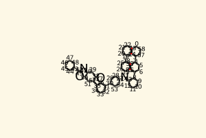 c1ccc(-c2ccc(-c3ccccc3N(c3ccc(-c4ccccc4)cc3)c3ccc(-c4cccc5c4oc4cc6nc(-c7ccccc7)oc6cc45)cc3)cc2)cc1